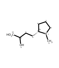 CN1CCC[C@H]1CCC(O)C(=O)O